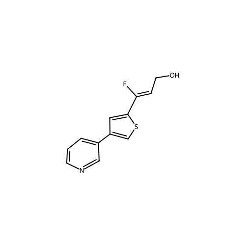 OCC=C(F)c1cc(-c2cccnc2)cs1